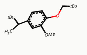 COc1cc(C(C)C(C)(C)C)ccc1OCC(C)(C)C